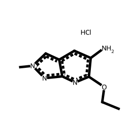 CCOc1nc2nn(C)cc2cc1N.Cl